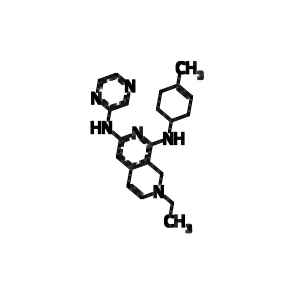 CCN1C=Cc2cc(Nc3cnccn3)nc(NC3CC=C(C)CC3)c2C1